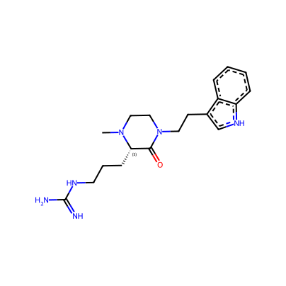 CN1CCN(CCc2c[nH]c3ccccc23)C(=O)[C@@H]1CCCNC(=N)N